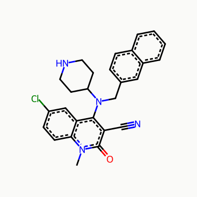 Cn1c(=O)c(C#N)c(N(Cc2ccc3ccccc3c2)C2CCNCC2)c2cc(Cl)ccc21